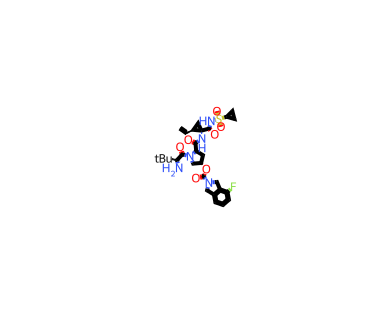 C=C[C@H]1C[C@@]1(NC(=O)C1C[C@@H](OC(=O)N2Cc3cccc(F)c3C2)CN1C(=O)[C@@H](N)C(C)(C)C)C(=O)NS(=O)(=O)C1CC1